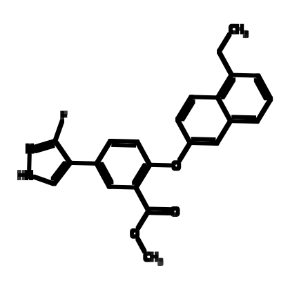 CCc1cccc2cc(Oc3ccc(-c4c[nH]nc4F)cc3C(=O)OC)ccc12